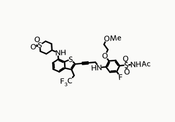 COCCOc1cc(S(=O)(=O)NC(C)=O)c(F)cc1NCC#Cc1sc2c(NC3CCS(=O)(=O)CC3)cccc2c1CC(F)(F)F